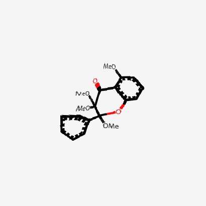 COc1cccc2c1C(=O)C(OC)(OC)C(OC)(c1ccccc1)O2